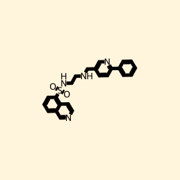 O=S(=O)(NCCNCc1ccc(-c2ccccc2)nc1)c1cccc2cnccc12